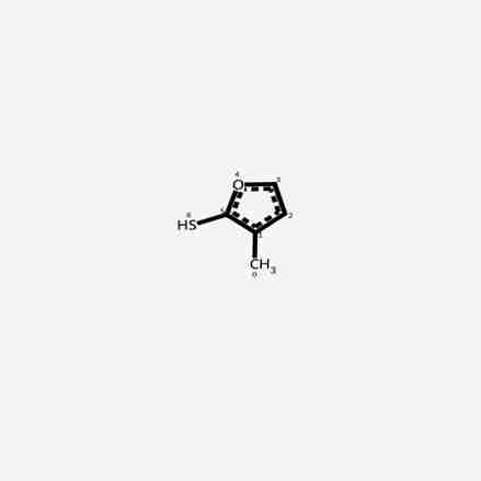 Cc1ccoc1S